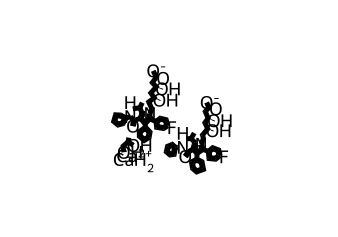 CC(C)c1c(C(=O)Nc2ccccc2)c(-c2ccccc2)c(-c2ccc(F)cc2)n1CC[C@@H](O)C[C@@H](O)CC(=O)[O-].CC(C)c1c(C(=O)Nc2ccccc2)c(-c2ccccc2)c(-c2ccc(F)cc2)n1CC[C@@H](O)C[C@@H](O)CC(=O)[O-].CC(O)CO.[Ca+2].[CaH2]